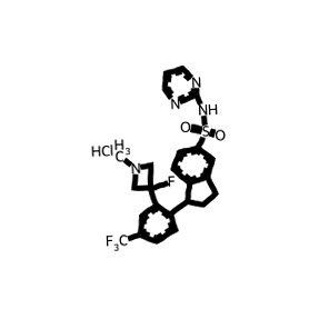 CN1CC(F)(c2cc(C(F)(F)F)ccc2C2CCc3cc(S(=O)(=O)Nc4ncccn4)ccc32)C1.Cl